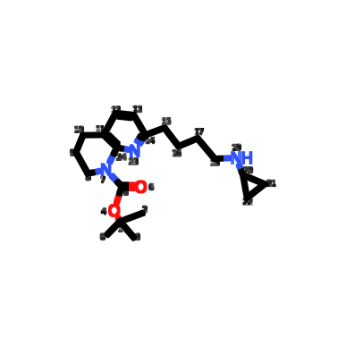 CC(C)(C)OC(=O)N1CCCc2ccc(CCCCNC3CC3)nc21